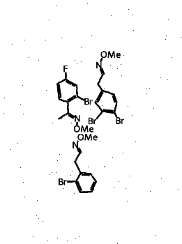 CON=C(C)c1ccc(F)cc1Br.CON=CCc1ccc(Br)c(Br)c1.CON=CCc1ccccc1Br